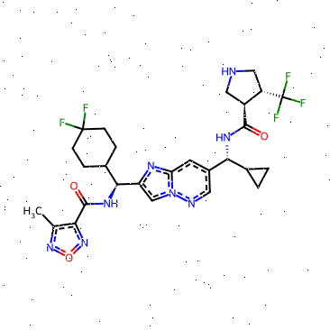 Cc1nonc1C(=O)N[C@H](c1cn2ncc([C@H](NC(=O)[C@H]3CNC[C@@H]3C(F)(F)F)C3CC3)cc2n1)C1CCC(F)(F)CC1